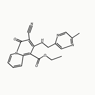 CCOC(=O)c1c(NCc2cnc(C)cn2)c(C#N)c(=O)n2ccccc12